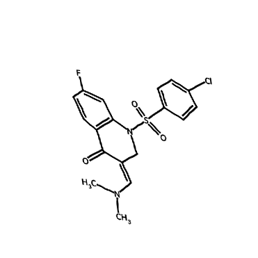 CN(C)C=C1CN(S(=O)(=O)c2ccc(Cl)cc2)c2cc(F)ccc2C1=O